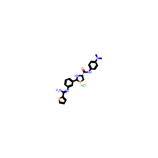 CN(C)c1ccc(NC(=O)[C@@H]2CSC(c3cccc(/N=C(\N)c4cccs4)c3)N2)cc1.Cl